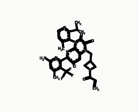 C=CC(=O)N1CC(Cn2c(=O)c(=O)n(-c3c(C)ccnc3C(C)C)c3nc(-c4nc(N)cc(C)c4C(F)(F)F)c(Cl)cc32)C1